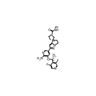 CC(C)NC(=O)N1CC[C@@]2(CCn3nc(-c4cnc(N)c(O[C@H](C)c5c(F)cncc5F)c4)cc32)C1